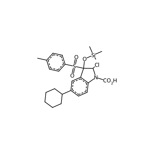 Cc1ccc(S(=O)(=O)C2(O[Si](C)(C)C)c3cc(C4CCCCC4)ccc3N(C(=O)O)C2Cl)cc1